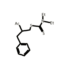 CCN(CC)C(=S)SCC(Cc1ccccc1)C(C)=O